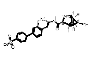 CCS(=O)(=O)c1ccc(-c2ccc(C[C@@H](C#N)NC(=O)[C@H]3N[C@H]4C[C@@H]3[C@@H]3[C@H](C)[C@@H]34)c(F)c2)cc1